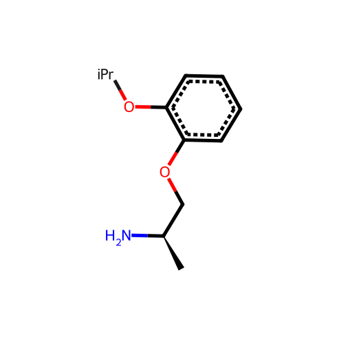 CC(C)Oc1ccccc1OC[C@@H](C)N